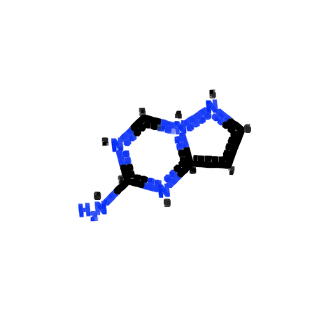 Nc1ncn2nccc2n1